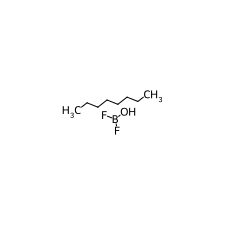 CCCCCCCC.OB(F)F